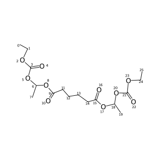 CCOC(=O)OC(C)OC(=O)CCCCC(=O)OC(C)OC(=O)OCC